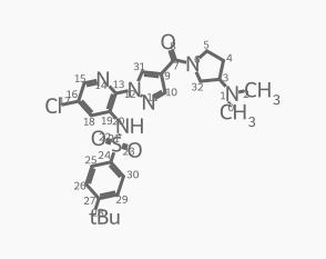 CN(C)C1CCN(C(=O)c2cnn(-c3ncc(Cl)cc3NS(=O)(=O)c3ccc(C(C)(C)C)cc3)c2)C1